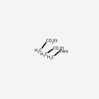 CCCC(C)C.CCOC(C)=O.CCOC(C)=O